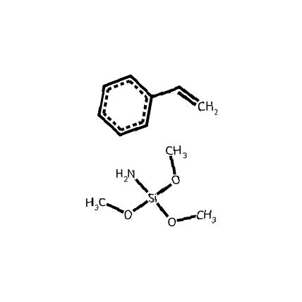 C=Cc1ccccc1.CO[Si](N)(OC)OC